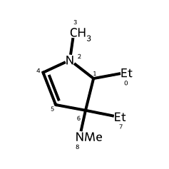 CCC1N(C)C=CC1(CC)NC